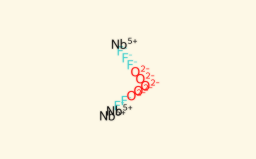 [F-].[F-].[F-].[F-].[F-].[Nb+5].[Nb+5].[Nb+5].[O-2].[O-2].[O-2].[O-2].[O-2]